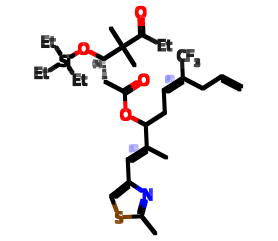 C=CC/C(=C\CC(OC(=O)C[C@H](O[Si](CC)(CC)CC)C(C)(C)C(=O)CC)/C(C)=C/c1csc(C)n1)C(F)(F)F